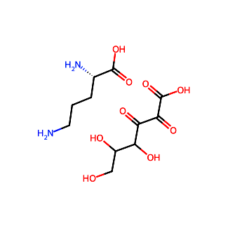 NCCC[C@H](N)C(=O)O.O=C(O)C(=O)C(=O)C(O)C(O)CO